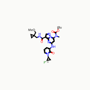 COCC1(CNC(=O)c2cnn3c(N(C)C(=O)OC(C)(C)C)cc(Nc4cccn(C5C[C@@H]5F)c4=O)nc23)CC1